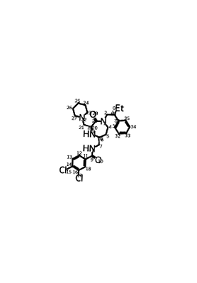 CC[C@H](CN1CC[C@@H](CNC(=O)c2ccc(Cl)c(Cl)c2)N[C@@H](CN2CCCCC2)C1=O)c1ccccc1